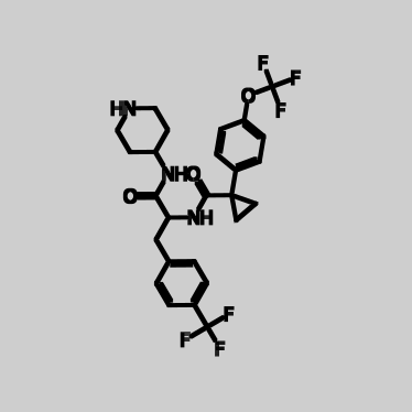 O=C(NC1CCNCC1)C(Cc1ccc(C(F)(F)F)cc1)NC(=O)C1(c2ccc(OC(F)(F)F)cc2)CC1